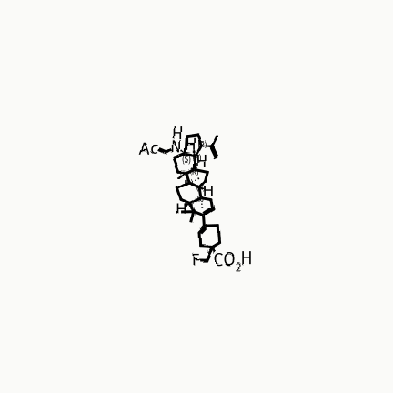 C=C(C)[C@@H]1CC[C@]2(NCC(C)=O)CC[C@]3(C)[C@H](CC[C@@H]4[C@@]5(C)CC=C(C6=CC[C@](CF)(C(=O)O)CC6)C(C)(C)[C@@H]5CC[C@]43C)[C@@H]12